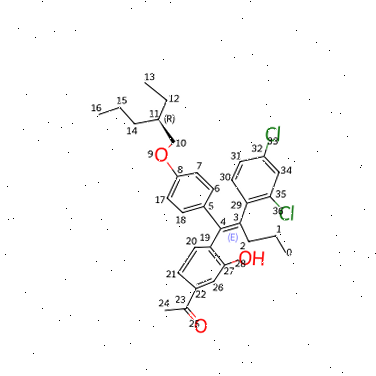 CCC/C(=C(/c1ccc(OC[C@H](CC)CCC)cc1)c1ccc(C(C)=O)cc1O)c1ccc(Cl)cc1Cl